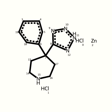 Cl.Cl.[Zn].c1ccc(C2(c3nn[nH]n3)CCNCC2)cc1